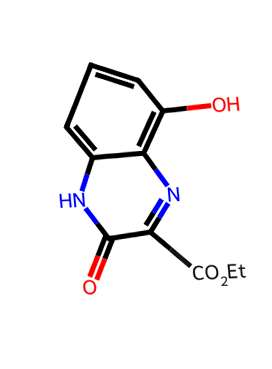 CCOC(=O)c1nc2c(O)cccc2[nH]c1=O